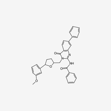 COc1cccc(C2CCC(Cn3c(NC(=O)c4ccccc4)nc4cc(-c5ccccc5)ccc4c3=O)O2)c1